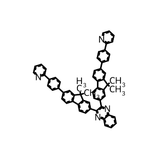 CC1(C)c2cc(-c3ccc(-c4ccccn4)cc3)ccc2-c2ccc(-c3nc4ccccc4nc3-c3ccc4c(c3)C(C)(C)c3cc(-c5ccc(-c6ccccn6)cc5)ccc3-4)cc21